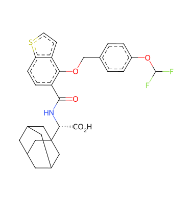 O=C(N[C@H](C(=O)O)C12CC3CC(CC(C3)C1)C2)c1ccc2sccc2c1OCc1ccc(OC(F)F)cc1